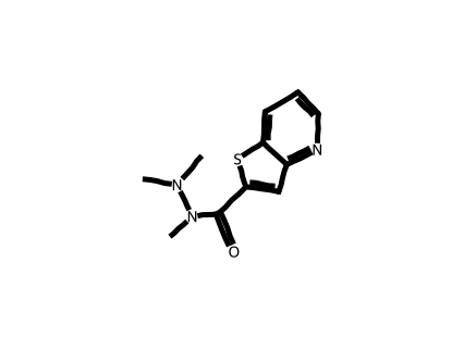 CN(C)N(C)C(=O)c1cc2ncccc2s1